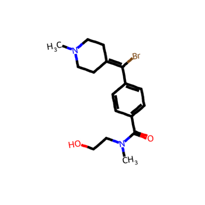 CN1CCC(=C(Br)c2ccc(C(=O)N(C)CCO)cc2)CC1